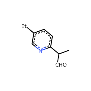 CCc1ccc(C(C)C=O)nc1